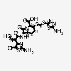 Nc1nnc(SCSC2=C(C(=O)O)N3C(=O)[C@@H](NC(=O)/C(=N\O)c4nc(N)sc4Cl)[C@H]3CC2)s1